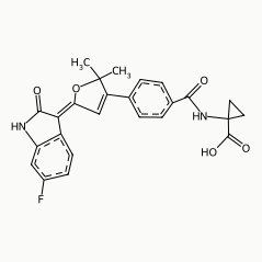 CC1(C)OC(=C2C(=O)Nc3cc(F)ccc32)C=C1c1ccc(C(=O)NC2(C(=O)O)CC2)cc1